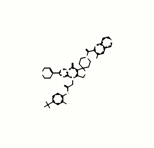 C[C@H]1OC2(CCN(C(=O)c3nc4ccncc4cc3O)CC2)c2c1n(CC(=O)Nc1ccc(C(F)(F)F)cc1Cl)c1nc(C3=CCOCC3)nn1c2=O